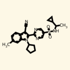 Cc1ccc2c(C#N)c(-c3ncc(S(=O)(=O)NC(C)C4CC4)cn3)n(C3CCCC3)c2c1